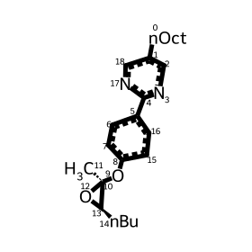 CCCCCCCCc1cnc(-c2ccc(O[C@]3(C)O[C@@H]3CCCC)cc2)nc1